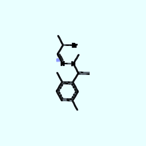 C=C(c1cc(C)ccc1C)N(C)/N=C\C(C)Br